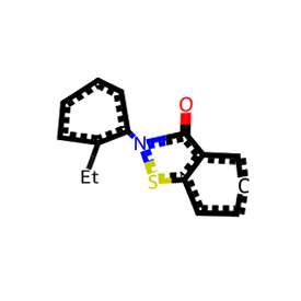 CCc1ccccc1-n1sc2ccccc2c1=O